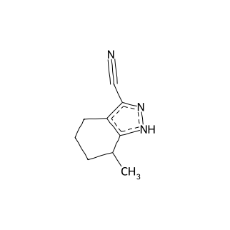 CC1CCCc2c(C#N)n[nH]c21